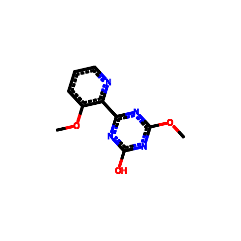 COc1nc(O)nc(-c2ncccc2OC)n1